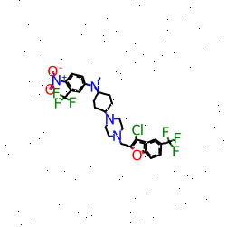 CN(c1ccc([N+](=O)[O-])c(C(F)(F)F)c1)C1CCC(N2CCN(Cc3oc4ccc(C(F)(F)F)cc4c3Cl)CC2)CC1